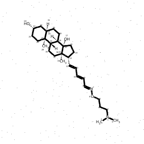 CN(C)CCCO/N=C/C=C/C=C/[C@H]1CC[C@]2(O)[C@@H]3CC[C@@H]4C[C@@H](O)CC[C@]4(C)[C@H]3CC[C@]12C